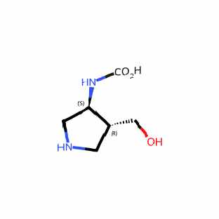 O=C(O)N[C@@H]1CNC[C@H]1CO